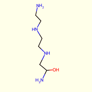 NCCNCCNCC(N)O